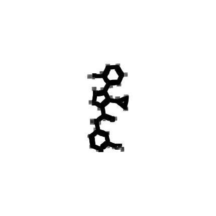 O=C(Nc1ccnc(C(F)(F)F)c1)c1snc(-c2ccccc2F)c1C1CC1